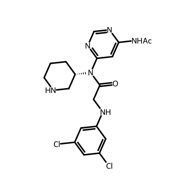 CC(=O)Nc1cc(N(C(=O)CNc2cc(Cl)cc(Cl)c2)[C@H]2CCCNC2)ncn1